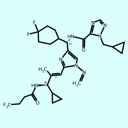 C=Nn1cc([C@@H](NC(=O)c2ncnn2CC2CC2)C2CCC(F)(F)CC2)nc1/C=C(\C)[C@H](NC(=O)CCC(F)(F)F)C1CC1